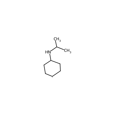 CC(C)NC1CC[CH]CC1